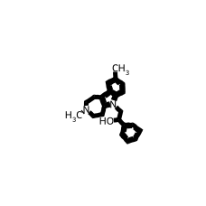 Cc1ccc2c(c1)c1c(n2CC(O)c2ccccc2)CCN(C)CC1